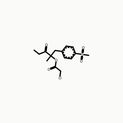 CCC(=O)C(C)(Cc1ccc(S(C)(=O)=O)cc1)OC(=O)CCl